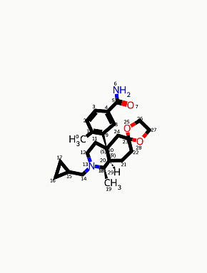 Cc1ccc(C(N)=O)cc1[C@]12CCN(CC3CC3)[C@H](C)[C@@H]1CCC1(C2)OCCO1